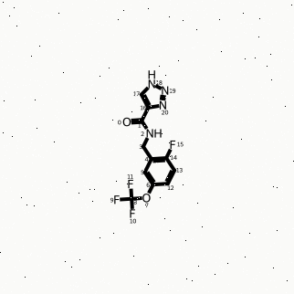 O=C(NCc1cc(OC(F)(F)F)ccc1F)c1c[nH]nn1